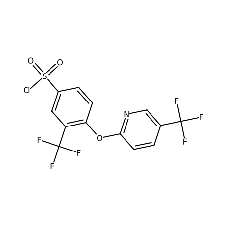 O=S(=O)(Cl)c1ccc(Oc2ccc(C(F)(F)F)cn2)c(C(F)(F)F)c1